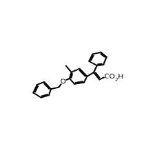 Cc1cc(/C(=C/C(=O)O)c2ccccc2)ccc1OCc1ccccc1